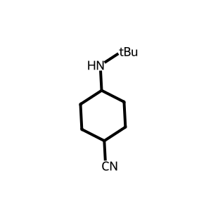 CC(C)(C)NC1CCC(C#N)CC1